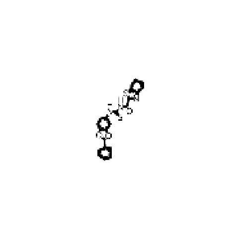 O=C(NC(=S)Nc1ccc2c(c1)OC(c1ccccc1)O2)c1nc2ccccc2s1